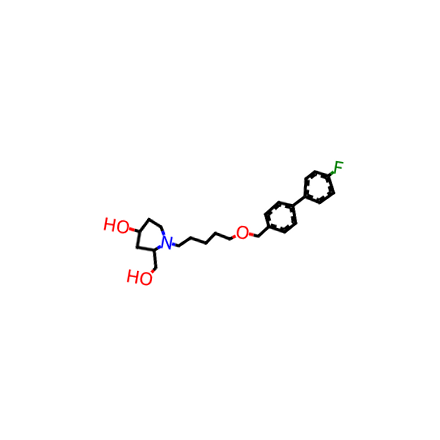 OCC1CC(O)CCN1CCCCCOCc1ccc(-c2ccc(F)cc2)cc1